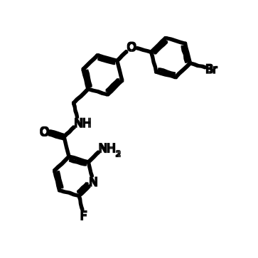 Nc1nc(F)ccc1C(=O)NCc1ccc(Oc2ccc(Br)cc2)cc1